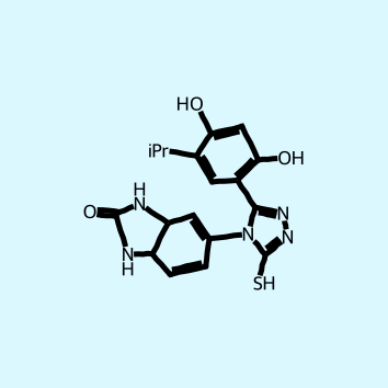 CC(C)c1cc(-c2nnc(S)n2C2=CC3NC(=O)NC3C=C2)c(O)cc1O